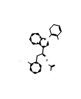 CCC(=O)O/N=C(\Cc1ccccc1C)c1cn(C2=C(F)C=CCC2)c2ccccc12